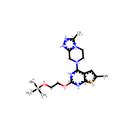 CCCc1cc2c(N3CCn4c(nnc4C(F)(F)F)C3)nc(OCCO[Si](C)(C)C(C)(C)C)nc2s1